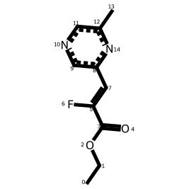 CCOC(=O)/C(F)=C/c1cncc(C)n1